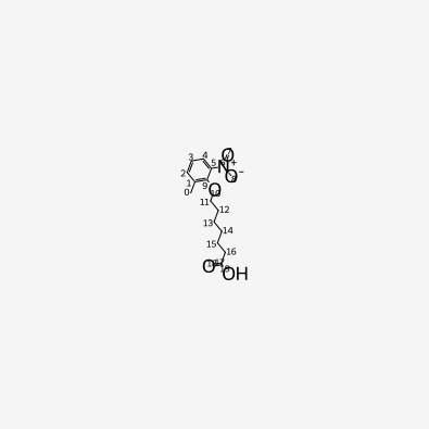 Cc1cccc([N+](=O)[O-])c1OCCCCCCC(=O)O